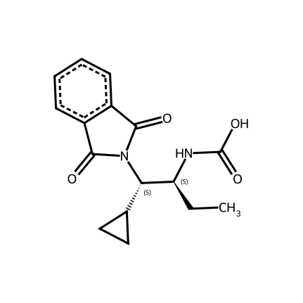 CC[C@H](NC(=O)O)[C@H](C1CC1)N1C(=O)c2ccccc2C1=O